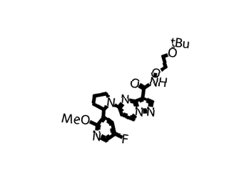 COc1ncc(F)cc1C1CCCN1c1ccn2ncc(C(=O)NOCCOC(C)(C)C)c2n1